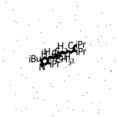 CCC(C)C1CC(CCC(C)(C)C(C)(C)CCCCC(C(C)C)C(C)C(C)C)C(C(C)C)C2N=C12